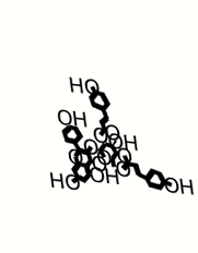 CC1O[C@@H](Oc2c(-c3ccc(O)cc3)oc3cc(O)cc(O)c3c2=O)C(OC(=O)/C=C/c2ccc(O)cc2)[C@@H](O)[C@H]1OC(=O)/C=C/c1ccc(O)cc1